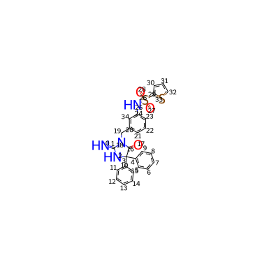 N=C1NC(c2ccccc2)(c2ccccc2)C(=O)N1Cc1cccc(NS(=O)(=O)c2cccs2)c1